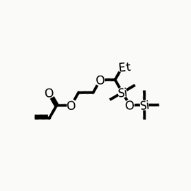 C=CC(=O)OCCOC(CC)[Si](C)(C)O[Si](C)(C)C